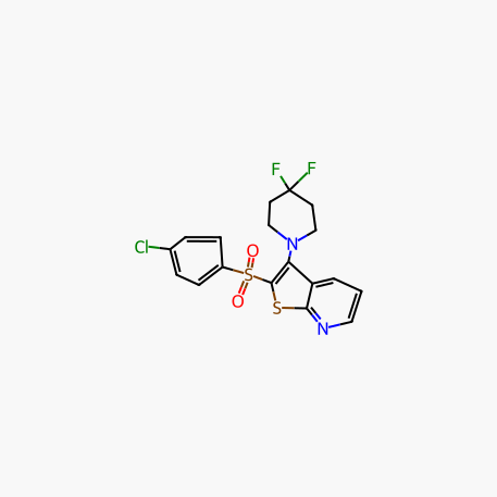 O=S(=O)(c1ccc(Cl)cc1)c1sc2ncccc2c1N1CCC(F)(F)CC1